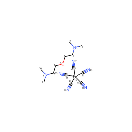 CN(C)CCOCCN(C)C.N#[C][Fe]([C]#N)([C]#N)([C]#N)[C]#N